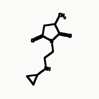 CC1CC(=O)N(CCNC2CC2)C1=O